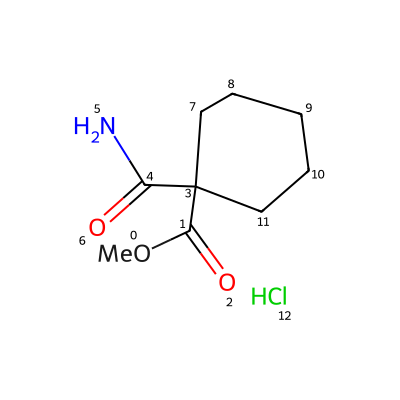 COC(=O)C1(C(N)=O)CCCCC1.Cl